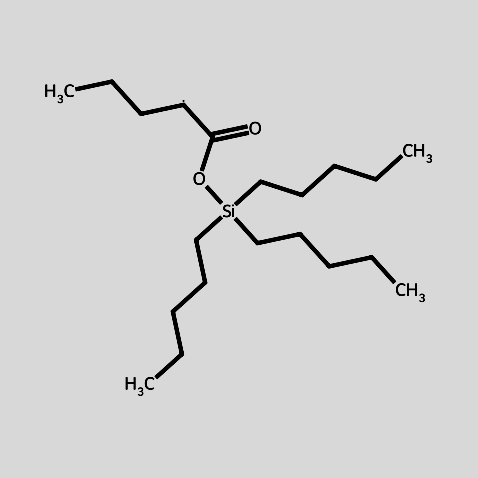 CCC[CH]C(=O)O[Si](CCCCC)(CCCCC)CCCCC